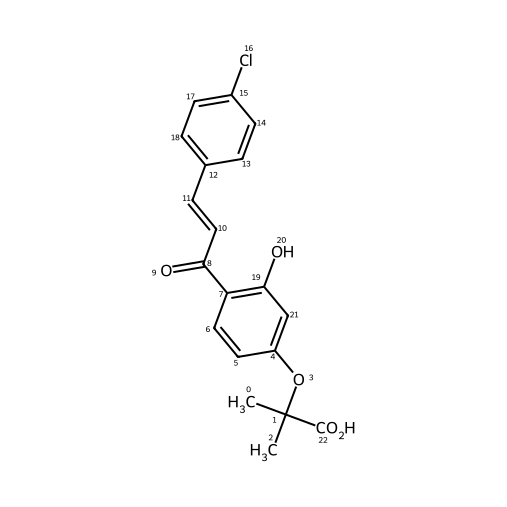 CC(C)(Oc1ccc(C(=O)/C=C/c2ccc(Cl)cc2)c(O)c1)C(=O)O